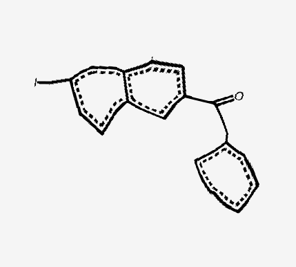 O=C(c1ccccc1)c1c[c]c2cc(I)ccc2c1